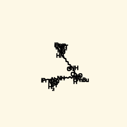 CCCCNC(=O)[C@H](CCCCNC(=O)CCCCCCCNC(=O)CN(C[C@@H](N)CC(C)C)C(=O)CC(C)C)NC(=O)CCCCCCCNC(=O)CN(C[C@@H](N)CC(C)C)C(=O)CC(C)C